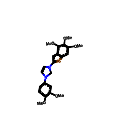 COc1ccc(N2C=CN(c3cc4c(OC)c(OC)c(OC)cc4s3)C2)cc1OC